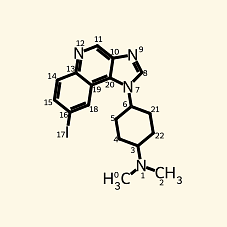 CN(C)C1CCC(n2cnc3cnc4ccc(I)cc4c32)CC1